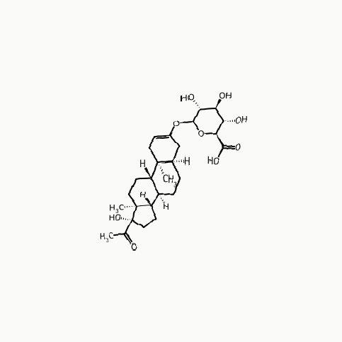 CC(=O)[C@]1(O)CC[C@H]2[C@@H]3CC[C@@H]4CC(OC5O[C@H](C(=O)O)[C@@H](O)[C@H](O)[C@H]5O)=CC[C@]4(C)[C@H]3CC[C@@]21C